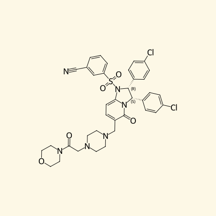 N#Cc1cccc(S(=O)(=O)N2c3ccc(CN4CCN(CC(=O)N5CCOCC5)CC4)c(=O)n3[C@@H](c3ccc(Cl)cc3)[C@H]2c2ccc(Cl)cc2)c1